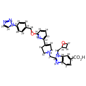 O=C(O)c1ccc2nc(CN3CC=C(c4cccc(OCc5ccc(-n6ccnn6)cc5)n4)CC3)n(C[C@@H]3CCO3)c2c1